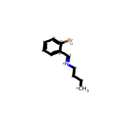 CCCCN=Cc1ccccc1Br